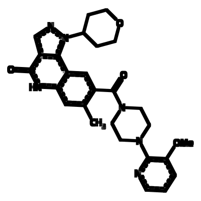 COc1cccnc1N1CCN(C(=O)c2cc3c(cc2C)[nH]c(=O)c2cnn(C4CCOCC4)c23)CC1